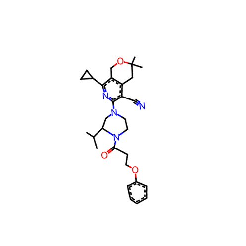 CC(C)C1CN(c2nc(C3CC3)c3c(c2C#N)CC(C)(C)OC3)CCN1C(=O)CCOc1ccccc1